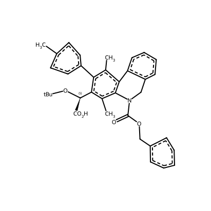 Cc1ccc(-c2c(C)c3c(c(C)c2[C@H](OC(C)(C)C)C(=O)O)N(C(=O)OCc2ccccc2)Cc2ccccc2-3)cc1